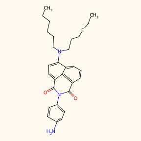 CCCCCCN(CCCCCC)c1ccc2c3c(cccc13)C(=O)N(c1ccc(N)cc1)C2=O